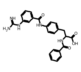 N=C(N)Nc1cccc(C(=O)Nc2ccc(CC(NC(=O)c3ccccc3)C(=O)O)cc2)c1